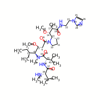 CC[C@H](C)[C@@H]([C@@H](CC(=O)N1CCC[C@H]1[C@H](OC)[C@@H](C)C(=O)NCCn1ccnc1)OC)N(C)C(=O)[C@@H](NC(=O)[C@@H](NC)C(C)C)C(C)C